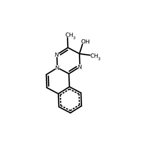 CC1=NN2C=Cc3ccccc3C2=NC1(C)O